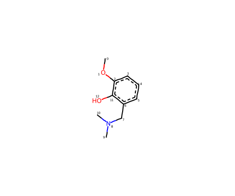 COc1c[c]cc(CN(C)C)c1O